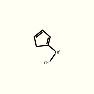 CC[CH2][Hf][C]1=CC=CC1